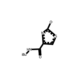 CCC(C)NC(=O)c1csc([O])n1